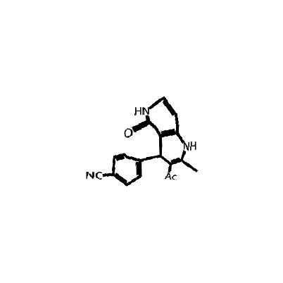 CC(=O)C1=C(C)Nc2cc[nH]c(=O)c2C1c1ccc(C#N)cc1